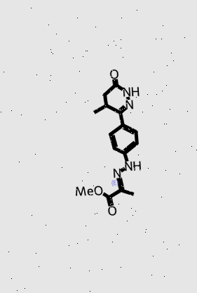 COC(=O)/C(C)=N/Nc1ccc(C2=NNC(=O)CC2C)cc1